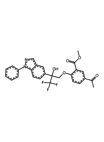 COC(=O)c1cc(C(C)=O)ccc1OCC(O)(c1ccc2c(cnn2-c2ccccc2)c1)C(F)(F)F